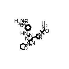 CC(C)(C(N)=O)n1cc(-c2nc(Nc3cccc(S(N)(=O)=O)c3)nc3c2ncn3C2CCCCO2)cn1